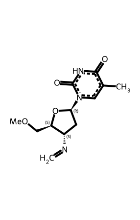 C=N[C@H]1C[C@H](n2cc(C)c(=O)[nH]c2=O)O[C@@H]1COC